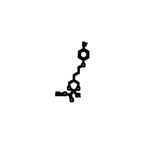 CCC1(C(=O)OC)OCC(CCCOc2ccc(Br)cc2)CO1